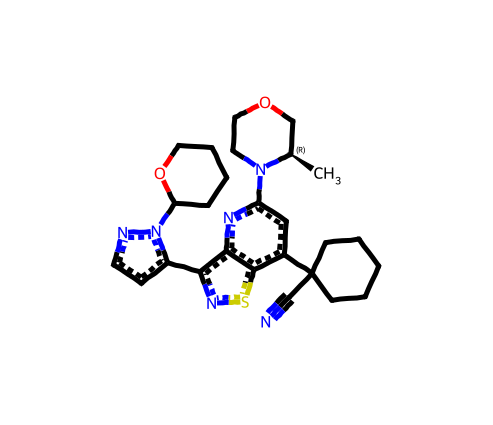 C[C@@H]1COCCN1c1cc(C2(C#N)CCCCC2)c2snc(-c3ccnn3C3CCCCO3)c2n1